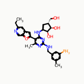 CCc1cc2cc(-c3c(C)nc(NCc4cc(C)cc(P)c4)nc3NC3C[C@H](CO)[C@@H](O)[C@H]3O)oc2cn1